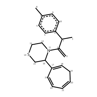 C=C(C(C)c1ccc(C)cc1)N1CCSCC1C1=CCC=CC=C1